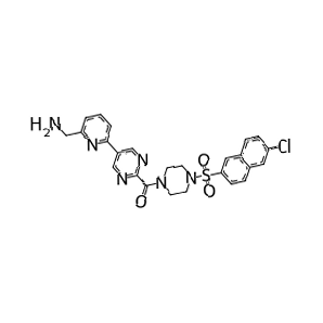 NCc1cccc(-c2cnc(C(=O)N3CCN(S(=O)(=O)c4ccc5cc(Cl)ccc5c4)CC3)nc2)n1